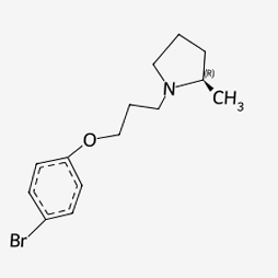 C[C@@H]1CCCN1CCCOc1ccc(Br)cc1